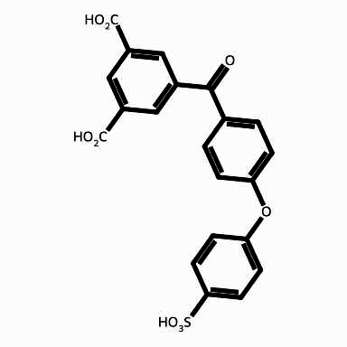 O=C(O)c1cc(C(=O)O)cc(C(=O)c2ccc(Oc3ccc(S(=O)(=O)O)cc3)cc2)c1